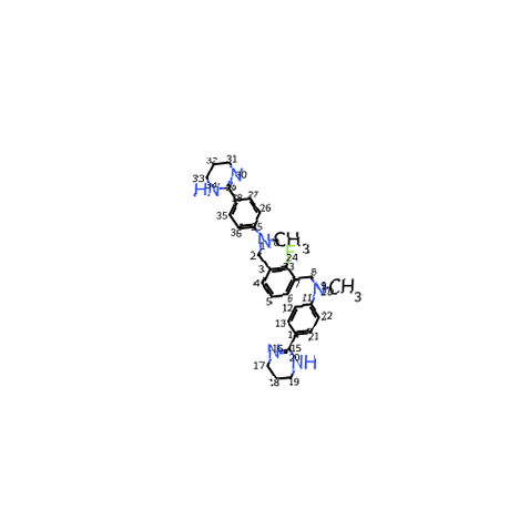 CN(Cc1cccc(CN(C)c2ccc(C3=NCCCN3)cc2)c1F)c1ccc(C2=NCCCN2)cc1